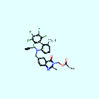 C#CCN(Cc1ccc2nc(C)n(COC(=O)C(C)(C)C)c(=O)c2c1)c1cccc(C(=O)O)c1-c1c(F)c(F)c(F)c(F)c1F